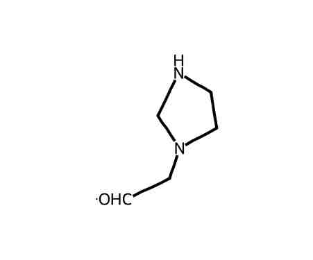 O=[C]CN1CCNC1